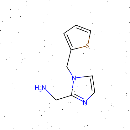 NCc1nccn1Cc1cccs1